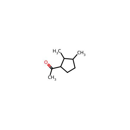 CC(=O)C1CCC(C)C1C